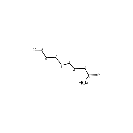 C=C(O)CCCCCCCC